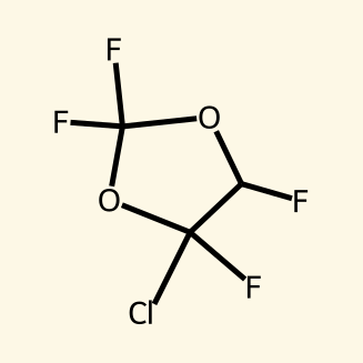 FC1OC(F)(F)OC1(F)Cl